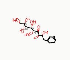 O=C(C(=O)[C@H](O)[C@@H](O)[C@H](O)[C@H](O)CO)C(O)Cc1ccccc1